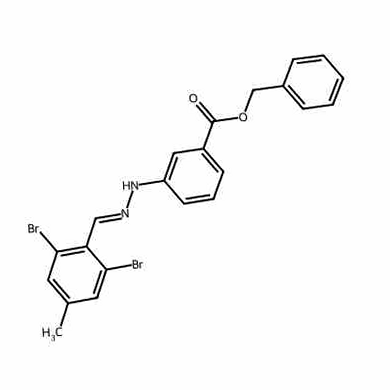 Cc1cc(Br)c(C=NNc2cccc(C(=O)OCc3ccccc3)c2)c(Br)c1